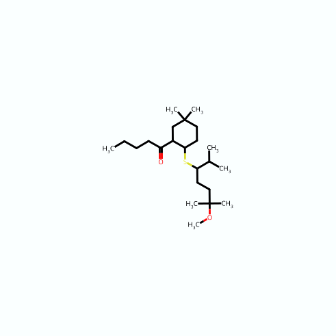 CCCCC(=O)C1CC(C)(C)CCC1SC(CCC(C)(C)OC)C(C)C